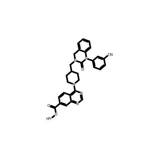 CCCOC(=O)c1ccc2c(N3CCC(CN4Cc5ccccc5N(c5cccc(C#N)c5)C4=O)CC3)ncnc2c1